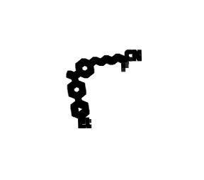 C=C(C1CCC(CCC=CC=C(F)C#N)CC1)C1CCC(c2ccc(CC)cc2)CC1